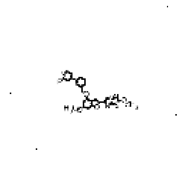 COc1cc(OCc2cccc(-c3ccnc(F)c3)c2)c2cc(-c3cn4nc(OC)sc4n3)oc2c1